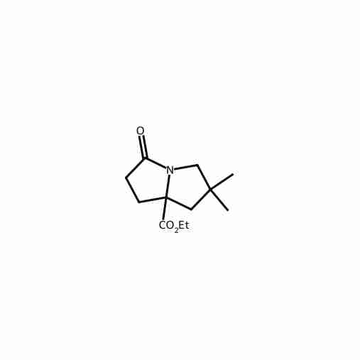 CCOC(=O)C12CCC(=O)N1CC(C)(C)C2